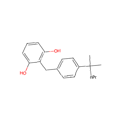 CCCC(C)(C)c1ccc(Cc2c(O)cccc2O)cc1